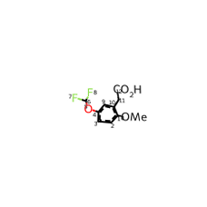 COc1ccc(OC(F)F)cc1CC(=O)O